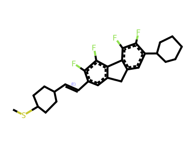 CSC1CCC(/C=C/c2cc3c(c(F)c2F)-c2c(cc(C4CCCCC4)c(F)c2F)C3)CC1